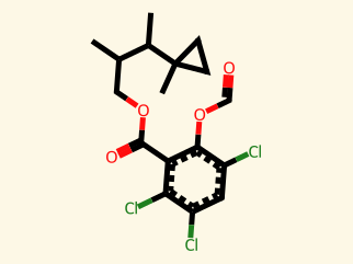 CC(COC(=O)c1c(Cl)c(Cl)cc(Cl)c1OC=O)C(C)C1(C)CC1